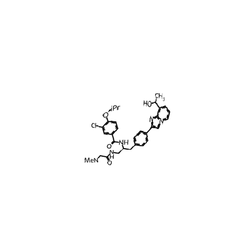 CNCC(=O)NC[C@H](Cc1ccc(-c2cn3cccc([C@H](C)O)c3n2)cc1)NC(=O)c1ccc(OC(C)C)c(Cl)c1